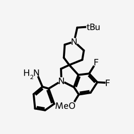 COc1cc(F)c(F)c2c1N(c1ccccc1N)CC21CCN(CC(C)(C)C)CC1